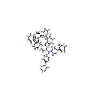 c1ccc(-c2ccc(N(c3ccc(-c4ccccc4)cc3)c3ccc4c(c3)c3ccccc3c3ccccc3c3ccccc3c3c4ccc4sc5ccccc5c43)cc2)cc1